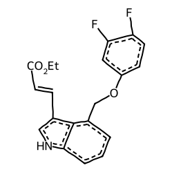 CCOC(=O)/C=C/c1c[nH]c2cccc(COc3ccc(F)c(F)c3)c12